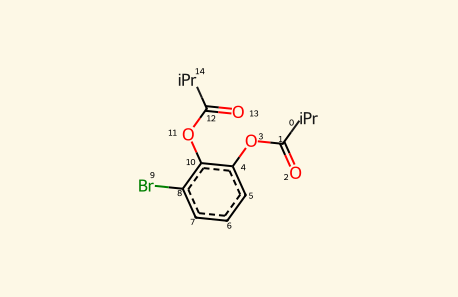 CC(C)C(=O)Oc1cccc(Br)c1OC(=O)C(C)C